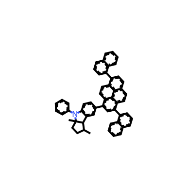 CC1CCC2(C)C1c1cc(-c3cc(-c4cccc5ccccc45)c4ccc5ccc(-c6cccc7ccccc67)c6ccc3c4c56)ccc1N2c1ccccc1